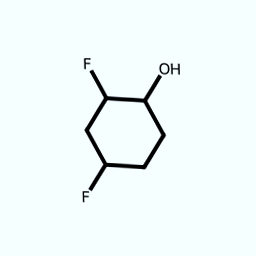 OC1CCC(F)CC1F